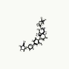 Cc1cc(N2CCC(N3CCCC3C)C2)ccc1N1CCCC2(CCN(C(=O)OC(C)(C)C)CC2)C1=O